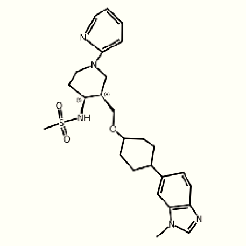 Cn1cnc2ccc(C3CCC(OC[C@@H]4CN(c5ccccn5)CC[C@@H]4NS(C)(=O)=O)CC3)cc21